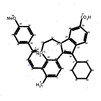 C=C(/C=C\c1c(C)ccc2c1OCCn1c-2c(C2CCCCC2)c2ccc(C(=O)O)cc21)c1ccc(OC)cc1